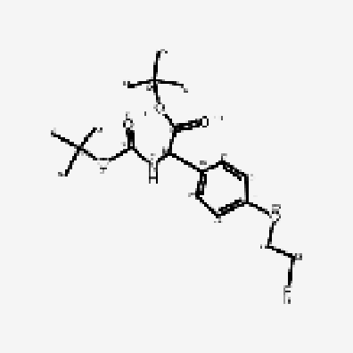 CC(C)(C)OC(=O)NC(C(=O)OC(C)(C)C)c1ccc(OCCF)cc1